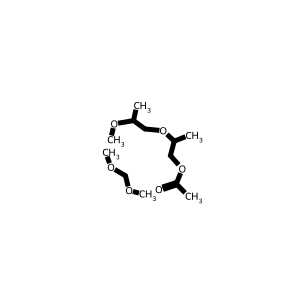 COC(C)COC(C)COC(C)=O.COCOC